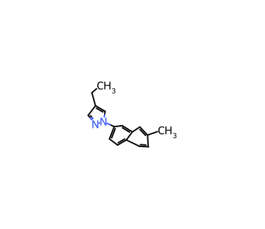 CCc1cnn(-c2ccc3ccc(C)cc3c2)c1